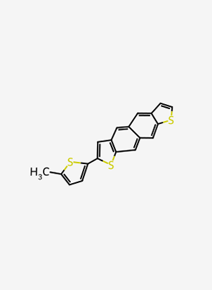 Cc1ccc(-c2cc3cc4cc5ccsc5cc4cc3s2)s1